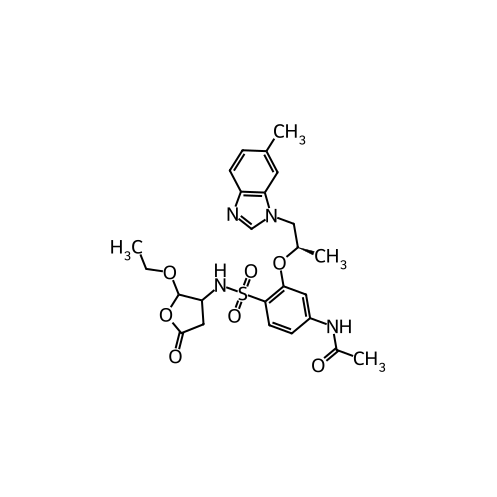 CCOC1OC(=O)CC1NS(=O)(=O)c1ccc(NC(C)=O)cc1O[C@H](C)Cn1cnc2ccc(C)cc21